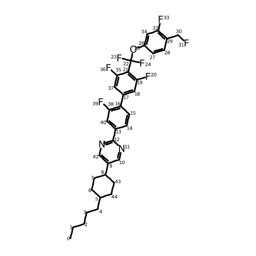 CCCCCC1CCC(c2cnc(-c3ccc(-c4cc(F)c(C(F)(F)Oc5ccc(CF)c(F)c5)c(F)c4)c(F)c3)nc2)CC1